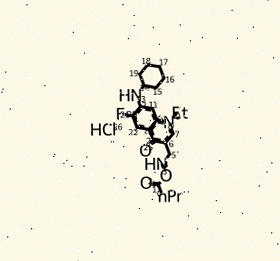 CCCC(=O)ONCc1cn(CC)c2cc(NC3CCCCC3)c(F)cc2c1=O.Cl